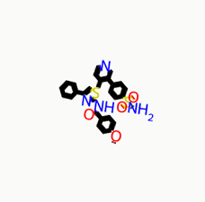 COc1ccc(C(=O)Nc2nc(-c3ccccc3)cs2)cc1.Cc1ccncc1-c1ccc(S(N)(=O)=O)cc1